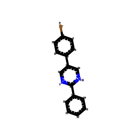 Brc1ccc(-c2cnc(-c3ccccc3)nc2)cc1